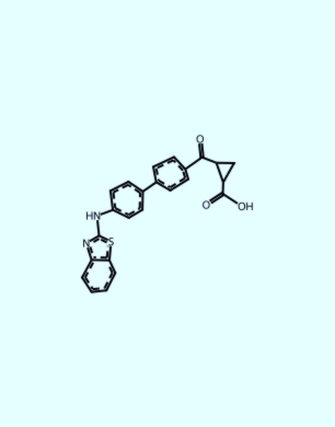 O=C(O)C1CC1C(=O)c1ccc(-c2ccc(Nc3nc4ccccc4s3)cc2)cc1